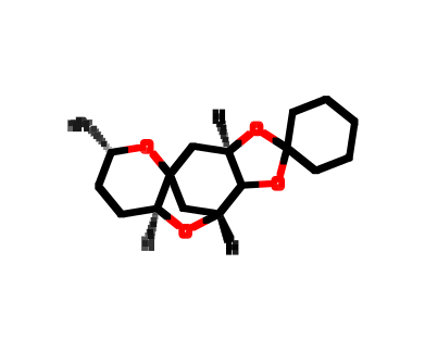 CCC[C@H]1CC[C@@H]2O[C@@H]3CC2(C[C@H]2OC4(CCCCC4)OC32)O1